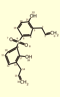 C=CCc1cc(S(=O)(=O)c2cccc(CC=C)c2O)ccc1O